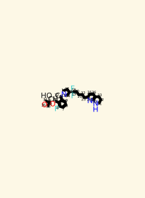 CC1(OCc2c(F)cccc2C(C(=O)O)N2CC[C@@H](C(F)(F)CCCCc3ccc4c(n3)NCCC4)C2)COC1